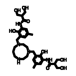 Cc1cc(CN2CCCNCCN(Cc3cc(C)cc(NC(=O)C(CO)CO)c3O)CC2)c(O)c(NC(=O)C(CO)CO)c1